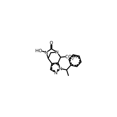 CC(c1ccccc1)n1ncc2c1C(C(=O)O)N1CC2N(O)C1=O